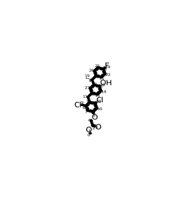 COC(=O)COc1cc(Cl)c(Cc2ccc(O)c([C@H](C)c3ccc(F)cc3)c2)c(Cl)c1